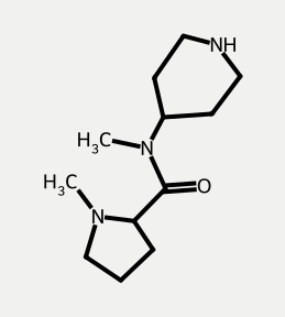 CN1CCCC1C(=O)N(C)C1CCNCC1